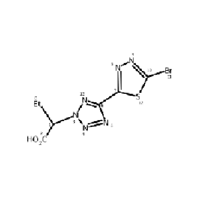 CCC(C(=O)O)n1nnc(-c2nnc(Br)s2)n1